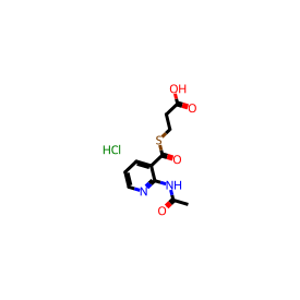 CC(=O)Nc1ncccc1C(=O)SCCC(=O)O.Cl